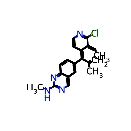 C=C(C)/C(c1ccc2nc(NC)ncc2c1)=c1/ccnc(Cl)/c1=C/C